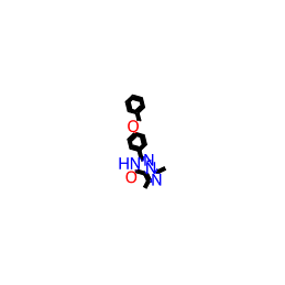 Cc1nc(C)n2nc(-c3ccc(OCc4ccccc4)cc3)[nH]c(=O)c12